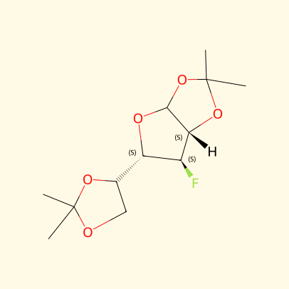 CC1(C)OCC([C@@H]2OC3OC(C)(C)O[C@@H]3[C@H]2F)O1